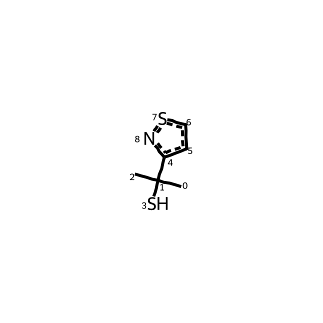 CC(C)(S)c1ccsn1